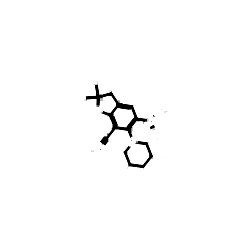 [CH2][C@@H]1CCCN(c2c([N+](=O)[O-])cc3c(c2C#N)OC(C)(C)C3)C1